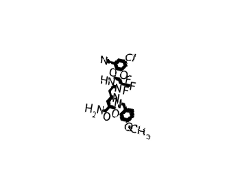 COc1ccc(Cn2nc(Cc3nc(C(F)(F)F)c(Oc4cc(Cl)cc(C#N)c4)c(=O)[nH]3)cc(C(N)=O)c2=O)cc1